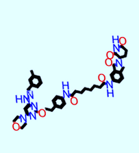 Cc1cccc(/C=N/Nc2cc(N3CCOCC3)nc(OCCc3ccc(NC(=O)CCCCCCC(=O)Nc4ccc5c(c4)C(=O)N(C4CCC(=O)NC4=O)C5)cc3)n2)c1